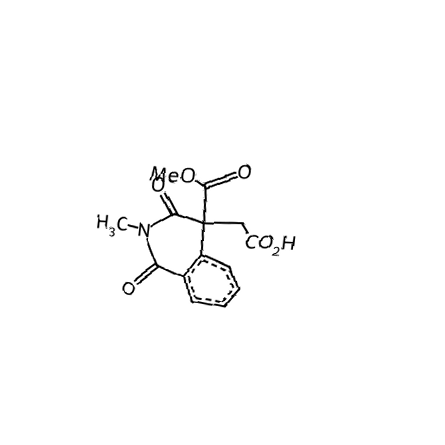 COC(=O)C1(CC(=O)O)C(=O)N(C)C(=O)c2ccccc21